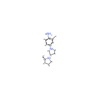 Cc1cc(N2CC[C@H](N3CCC[C@H]3C)C2)ccc1N